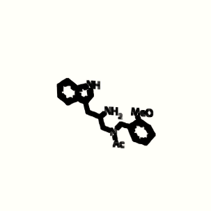 COc1ccccc1CN(CC(N)Cc1c[nH]c2ccccc12)C(C)=O